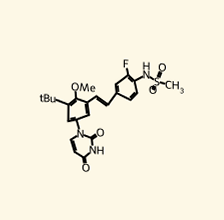 COc1c(C=Cc2ccc(NS(C)(=O)=O)c(F)c2)cc(-n2ccc(=O)[nH]c2=O)cc1C(C)(C)C